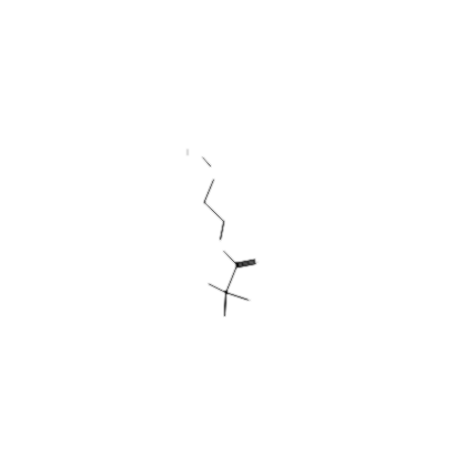 CCC(C)OCCSC(=O)C(C)(C)C(=O)O